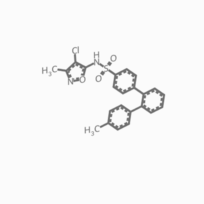 Cc1ccc(-c2ccccc2-c2ccc(S(=O)(=O)Nc3onc(C)c3Cl)cc2)cc1